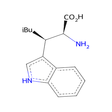 CCC(C)[C@H](c1c[nH]c2ccccc12)[C@H](N)C(=O)O